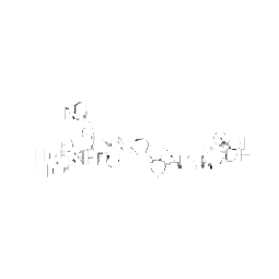 Cc1c(COc2cc(OCc3cccnc3)c(CNC(CO)C(=O)O)cc2Cl)cccc1-c1cccc2c1CCN2CCCN1CCC(O)(C(=O)O)CC1